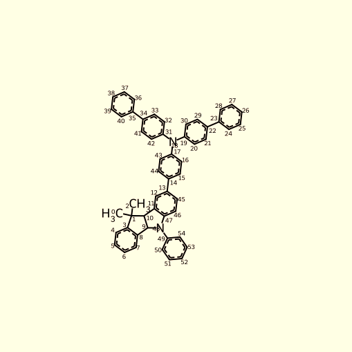 CC1(C)c2ccccc2C2C1c1cc(-c3ccc(N(c4ccc(-c5ccccc5)cc4)c4ccc(-c5ccccc5)cc4)cc3)ccc1N2c1ccccc1